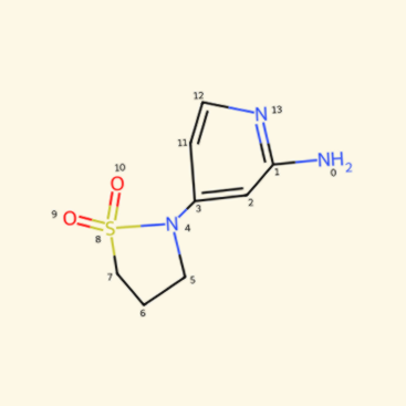 Nc1cc(N2CCCS2(=O)=O)ccn1